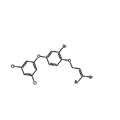 Clc1cc(Cl)cc(Oc2ccc(OCC=C(Br)Br)c(Br)c2)c1